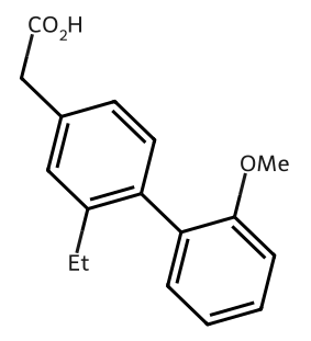 CCc1cc(CC(=O)O)ccc1-c1ccccc1OC